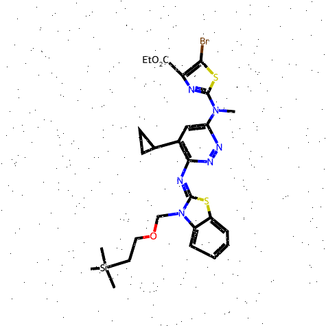 CCOC(=O)c1nc(N(C)c2cc(C3CC3)c(/N=c3\sc4ccccc4n3COCC[Si](C)(C)C)nn2)sc1Br